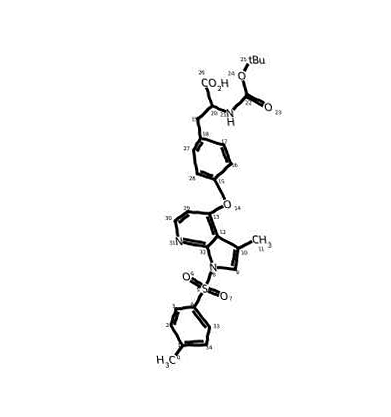 Cc1ccc(S(=O)(=O)n2cc(C)c3c(Oc4ccc(CC(NC(=O)OC(C)(C)C)C(=O)O)cc4)ccnc32)cc1